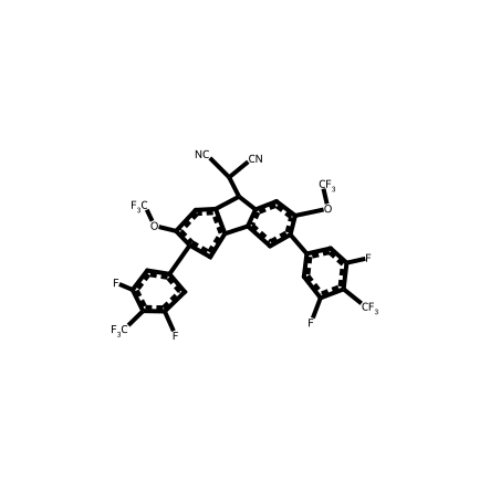 N#CC(C#N)C1c2cc(OC(F)(F)F)c(-c3cc(F)c(C(F)(F)F)c(F)c3)cc2-c2cc(-c3cc(F)c(C(F)(F)F)c(F)c3)c(OC(F)(F)F)cc21